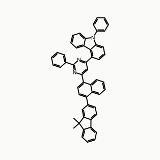 CC1(C)c2ccccc2-c2ccc(-c3ccc(-c4cc(-c5cccc6c5c5ccccc5n6-c5ccccc5)nc(-c5ccccc5)n4)c4ccccc34)cc21